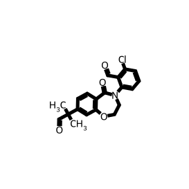 CC(C)(C=O)c1ccc2c(c1)OCCN(c1cccc(Cl)c1C=O)C2=O